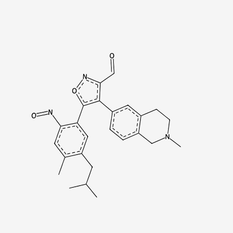 Cc1cc(N=O)c(-c2onc(C=O)c2-c2ccc3c(c2)CCN(C)C3)cc1CC(C)C